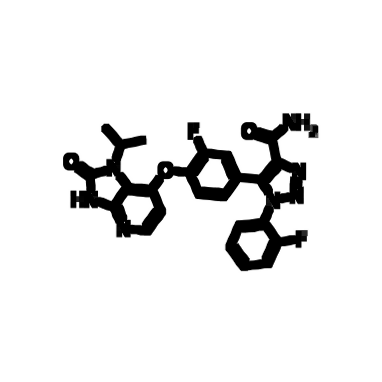 CC(C)n1c(=O)[nH]c2nccc(Oc3ccc(-c4c(C(N)=O)nnn4-c4ccccc4F)cc3F)c21